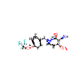 N#Cc1c(O)ccn(Cc2ccc(OC(F)(F)F)cc2)c1=O